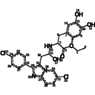 CCOC(=O)C(Cc1ccc(O)c(O)c1)NC(O)Cc1c(-c2ccc(Cl)cc2)nc2ccc(Cl)cn12